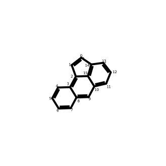 [C]1=[C]c2c3ccccc3cc3cc[c]c1c23